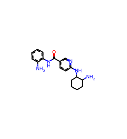 Nc1ccccc1NC(=O)c1ccc(NC2CCCCC2N)nc1